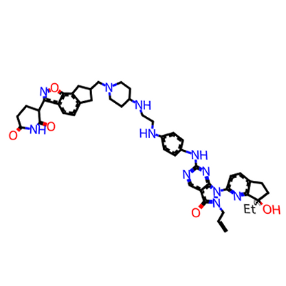 C=CCn1c(=O)c2cnc(Nc3ccc(NCCNC4CCN(CC5Cc6ccc7c(C8CCC(=O)NC8=O)noc7c6C5)CC4)cc3)nc2n1-c1ccc2c(n1)[C@@](O)(CC)CC2